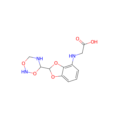 O=C(O)CNc1cccc2c1OC(C1NCONO1)O2